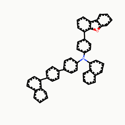 c1ccc2c(-c3ccc(-c4ccc(N(c5ccc(-c6cccc7c6oc6ccccc67)cc5)c5cccc6ccccc56)cc4)cc3)cccc2c1